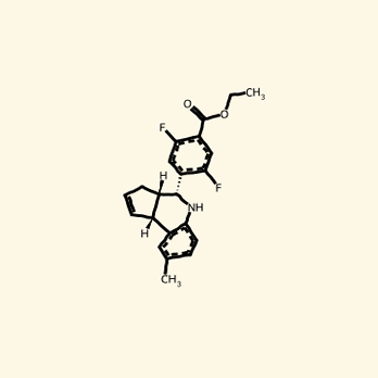 CCOC(=O)c1cc(F)c([C@@H]2Nc3ccc(C)cc3[C@@H]3C=CC[C@@H]32)cc1F